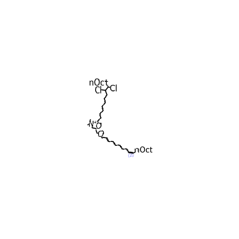 CCCCCCCC/C=C\CCCCCCCCOCC(C[N+](C)(C)C)OCCCCCCCCC(Cl)C(Cl)CCCCCCCC